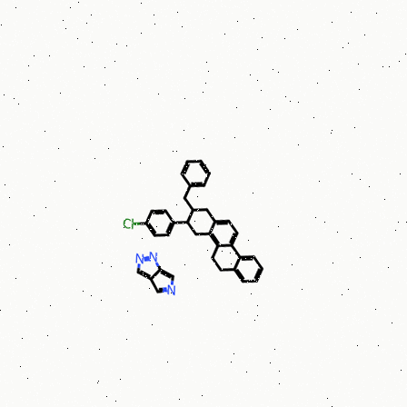 C1=NC=C2N=NC=C12.Clc1ccc(C2Cc3c(ccc4c3CCc3ccccc3-4)CC2Cc2ccccc2)cc1